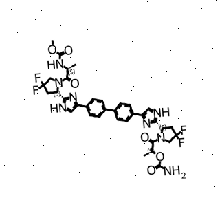 COC(=O)N[C@@H](C)C(=O)N1CC(F)(F)C[C@H]1c1nc(-c2ccc(-c3ccc(-c4c[nH]c([C@@H]5CC(F)(F)CN5C(=O)[C@H](C)OC(N)=O)n4)cc3)cc2)c[nH]1